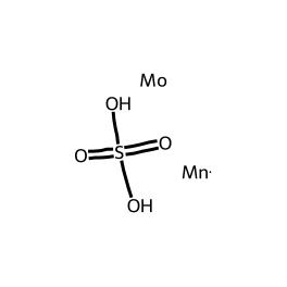 O=S(=O)(O)O.[Mn].[Mo]